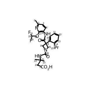 Cc1ccc(NC(=O)C2(c3ccccc3C(C)C)CN(C(=O)NC(C)(C)CC(=O)O)C2)c(OC(F)F)n1